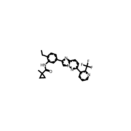 CCc1ccc(-c2cn3nc(-c4cccnc4C(F)(F)F)ccc3n2)cc1NC(=O)C1(C)CC1